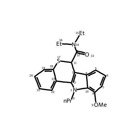 CCCn1c2c(c3cccc(OC)c31)C(C(=O)N(CC)CC)Sc1ccccc1-2